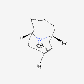 [2H]C1C[C@H]2CCC[C@@H](C1)N2C